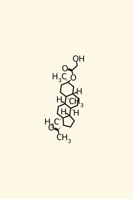 CC(=O)[C@H]1CC[C@H]2[C@@H]3CC[C@H]4C[C@](C)(OC(=O)CO)CC[C@]4(C)[C@H]3CC[C@]12C